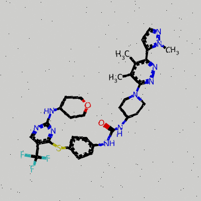 Cc1c(-c2ccnn2C)nnc(N2CCC(NC(=O)Nc3ccc(Sc4nc(NC5CCOCC5)ncc4C(F)(F)F)cc3)CC2)c1C